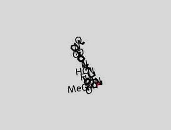 C=CC(=O)N1CCCC[C@@H](S(=O)(=O)c2ccc(N3CC(O)(CN4CCC(C(CN5CCC5)(c5cccc(F)c5)[C@H]5CCC[C@@H]5NC(=O)OC)CC4)C3)cc2)C1